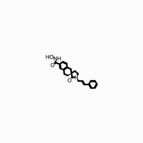 O=C(NO)c1ccc2c(c1)CC[C@]1(CCN(CC=Cc3ccccc3)C1=O)C2